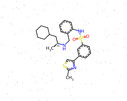 Cc1nc(-c2cccc(S(=O)(=O)Nc3ccccc3CN[C@@H](C)CC3CCCCC3)c2)cs1